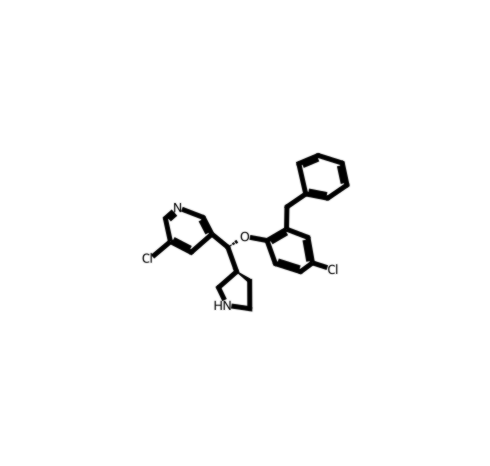 Clc1cncc([C@H](Oc2ccc(Cl)cc2Cc2ccccc2)[C@H]2CCNC2)c1